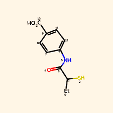 CCC(S)C(=O)Nc1ccc(C(=O)O)cc1